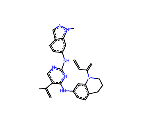 C=CC(=C)N1CCCc2ccc(Nc3nc(Nc4ccc5cnn(C)c5c4)ncc3C(=C)C)cc21